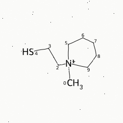 C[N+]1(CCS)CCCCC1